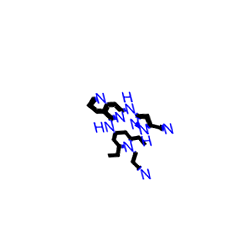 CCC1CC(Nc2nc(Nc3cc(C#N)[nH]n3)cc3ncccc23)CC(CC)N1CCC#N